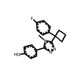 Cn1c(-c2ccc(O)cc2)nnc1C1(c2ccc(F)cc2)CCC1